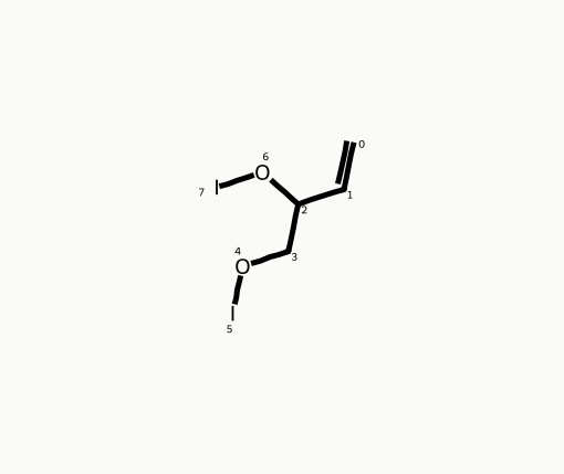 C=CC(COI)OI